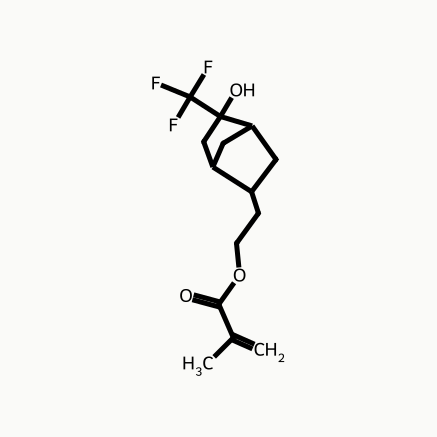 C=C(C)C(=O)OCCC1CC2CC1CC2(O)C(F)(F)F